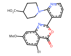 CCc1cc(OC)cc2nc(-c3cccnc3N3CCC(C(=O)O)CC3)oc(=O)c12